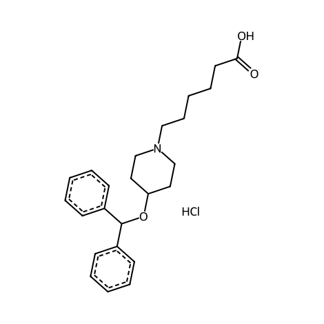 Cl.O=C(O)CCCCCN1CCC(OC(c2ccccc2)c2ccccc2)CC1